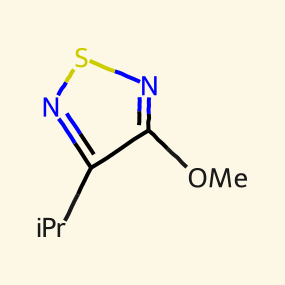 COc1nsnc1C(C)C